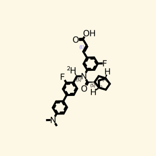 [2H][C@@H](c1ccc(-c2ccc(N(C)C)cc2)cc1F)N(C(=O)[C@H]1C[C@@H]2CC[C@H]1C2)c1cc(F)cc(/C=C/C(=O)O)c1